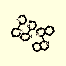 c1ccc(-c2ccccn2)nc1.c1ccc(-c2ccccn2)nc1.c1ccc2c(-c3nccc4ccccc34)nccc2c1